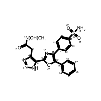 CN(O)C(=O)Cc1nn[nH]c1-c1nc(-c2ccc(S(N)(=O)=O)cc2)c(-c2ccccc2)o1